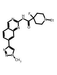 CCN1CCC(F)(C(=O)Nc2ncc3ccc(-c4cn(C)nn4)cc3n2)CC1